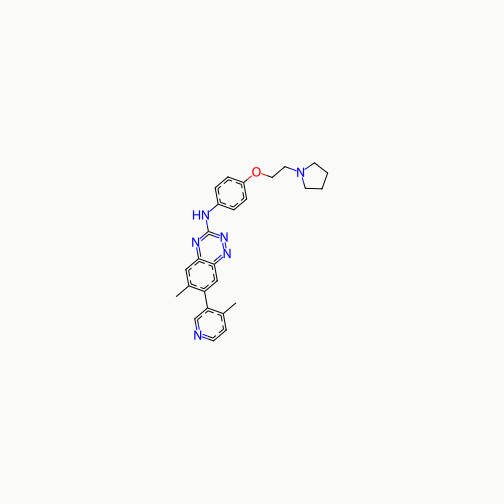 Cc1ccncc1-c1cc2nnc(Nc3ccc(OCCN4CCCC4)cc3)nc2cc1C